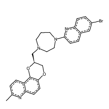 Cc1ccc2c3c(ccc2n1)OC[C@H](CN1CCCN(c2ccc4cc(Br)ccc4n2)CC1)O3